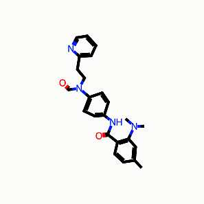 Cc1ccc(C(=O)Nc2ccc(N(C=O)CCc3ccccn3)cc2)c(N(C)C)c1